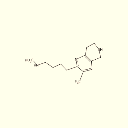 O=C(O)NCCCCc1nc2c(cc1C(F)(F)F)CNCC2